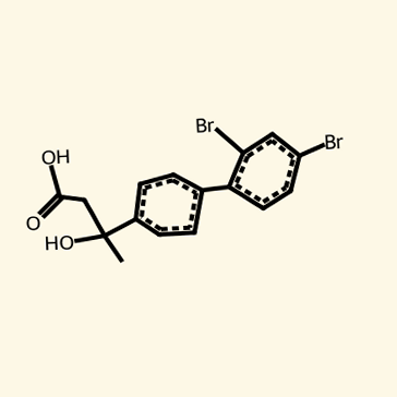 CC(O)(CC(=O)O)c1ccc(-c2ccc(Br)cc2Br)cc1